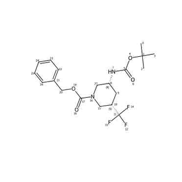 CC(C)(C)OC(=O)N[C@@H]1C[C@H](C(F)(F)F)CN(C(=O)OCc2ccccc2)C1